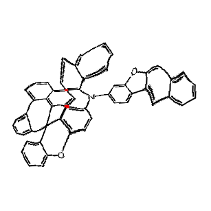 c1ccc2c(c1)Oc1ccc(N(c3ccc4c(c3)oc3cc5ccccc5cc34)c3cccc4ccccc34)cc1C21c2ccccc2-c2cccc3cccc1c23